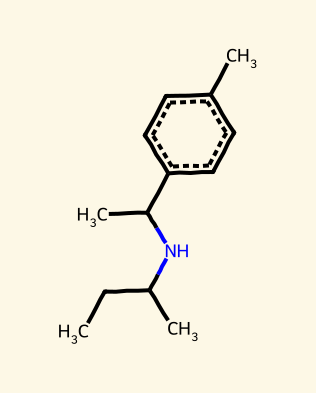 CCC(C)NC(C)c1ccc(C)cc1